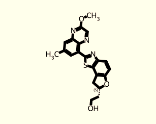 COc1cnc2c(-c3nc4ccc5c(c4s3)C[C@@H](CCO)O5)cc(C)cc2n1